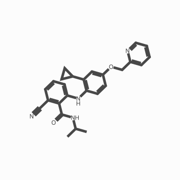 CC(C)NC(=O)c1c(C#N)cccc1Nc1ccc(OCc2ccccn2)cc1C1CC1